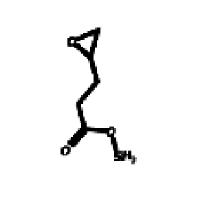 O=C(CCC1CO1)O[SiH3]